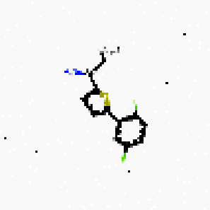 CCOC(=O)C[C@H](N)c1ccc(-c2cc(F)ccc2F)s1